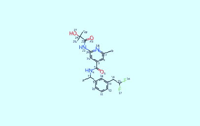 Cc1cc(C(=O)NC(C)c2cccc(CC(F)F)c2)cc(NC(=O)C(C)(C)O)n1